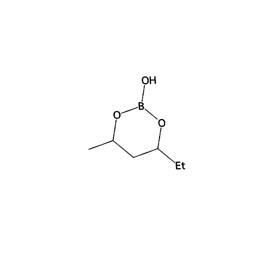 CCC1CC(C)OB(O)O1